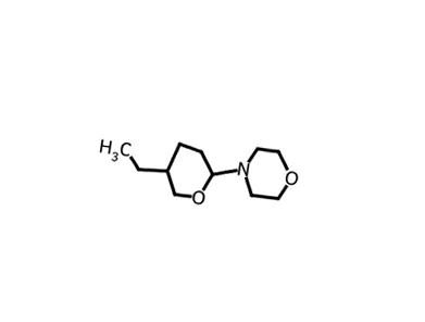 CCC1CCC(N2CCOCC2)OC1